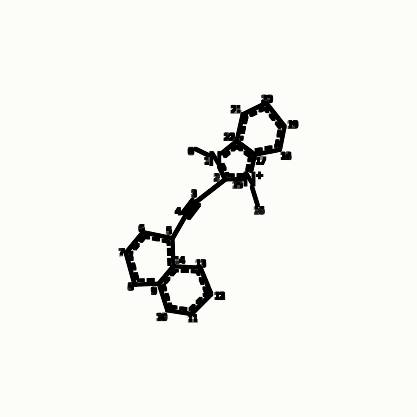 Cn1c(C#Cc2cccc3ccccc23)[n+](C)c2ccccc21